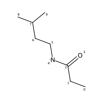 CCC(=O)[N]CCC(C)C